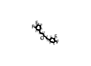 O=C(C=Cc1ccc(F)c(F)c1)C=Cc1ccc(F)c(F)c1